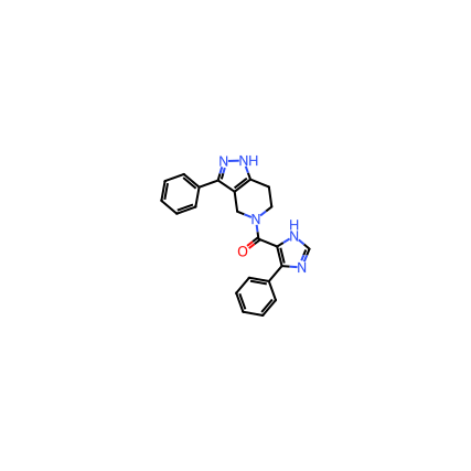 O=C(c1[nH]cnc1-c1ccccc1)N1CCc2[nH]nc(-c3ccccc3)c2C1